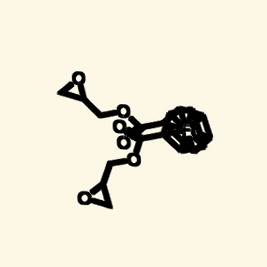 O=C(OCC1CO1)[C]12[CH]3[CH]4[CH]5[CH]1[Fe]45321678[CH]2[CH]1[CH]6[C]7(C(=O)OCC1CO1)[CH]28